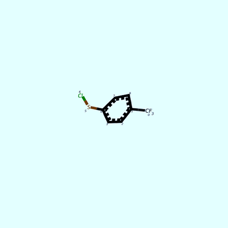 FC(F)(F)c1ccc(SCl)cc1